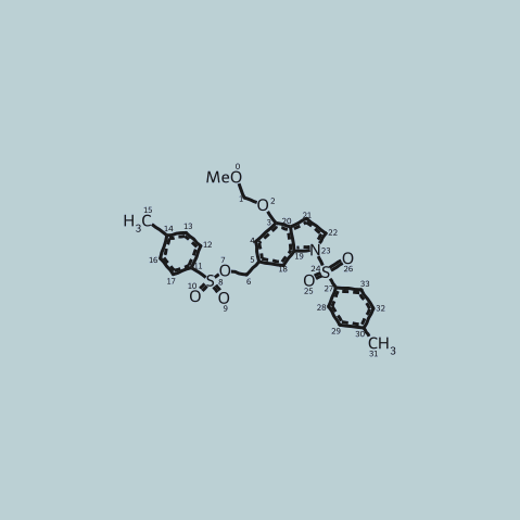 COCOc1cc(COS(=O)(=O)c2ccc(C)cc2)cc2c1ccn2S(=O)(=O)c1ccc(C)cc1